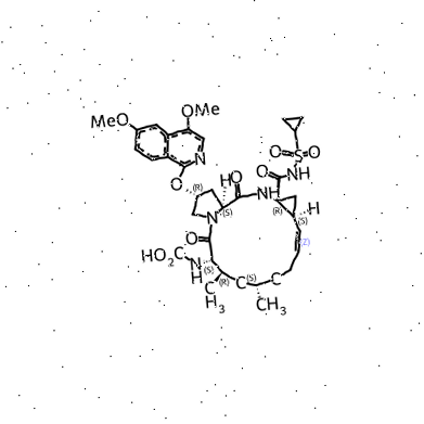 COc1ccc2c(O[C@@H]3C[C@H]4C(=O)N[C@]5(C(=O)NS(=O)(=O)C6CC6)C[C@H]5/C=C\CC[C@H](C)C[C@@H](C)[C@H](NC(=O)O)C(=O)N4C3)ncc(OC)c2c1